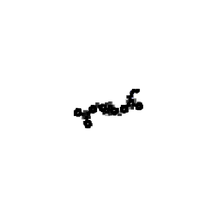 C=C/C=C\C=C(/C)c1nc(-c2ccccc2)nc(-c2ccc(Oc3ccc(C(c4ccc(Oc5ccc(-c6nc(-c7ccccc7)nc(-c7ccccc7)n6)cc5)cc4)(C(F)(F)F)C(F)(F)F)cc3)cc2)n1